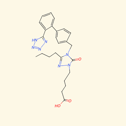 CCCCc1nn(CCCCC(=O)O)c(=O)n1Cc1ccc(-c2ccccc2-c2nnn[nH]2)cc1